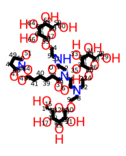 O=C(CN(CC(=O)N(CCO[C@H]1O[C@H](CO)[C@@H](O)[C@H](O)[C@@H]1O)CCO[C@H]1O[C@H](CO)[C@@H](O)[C@H](O)[C@@H]1O)C(=O)CCCCC(=O)ON1C(=O)CCC1=O)NCCO[C@H]1O[C@H](CO)[C@@H](O)[C@H](O)[C@@H]1O